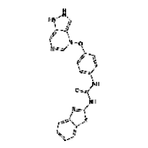 O=C(Nc1ccc(ON2C=NC=C3NNC=C32)cc1)Nc1nc2ccccc2s1